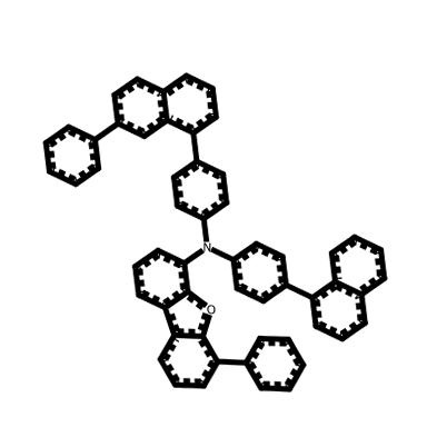 c1ccc(-c2ccc3cccc(-c4ccc(N(c5ccc(-c6cccc7ccccc67)cc5)c5cccc6c5oc5c(-c7ccccc7)cccc56)cc4)c3c2)cc1